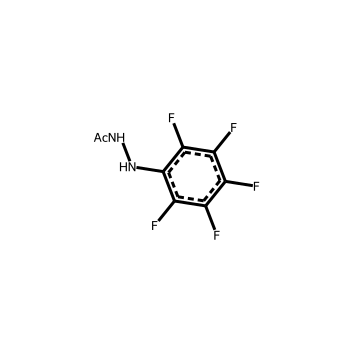 CC(=O)NNc1c(F)c(F)c(F)c(F)c1F